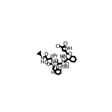 CCC[C@H](NC(=O)[C@@H]1C[C@@H]2CCCC[C@@H]2N1C(=O)[C@@H](NC(=O)C(NC(=O)c1cc(Cl)c(Cl)[nH]1)C1CCCCC1)C(C)(C)C)C(=O)C(=O)NC1CC1